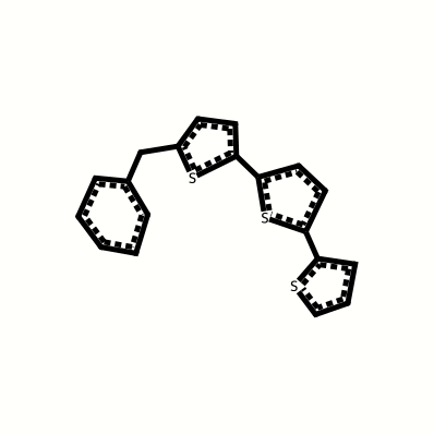 c1ccc(Cc2ccc(-c3ccc(-c4cccs4)s3)s2)cc1